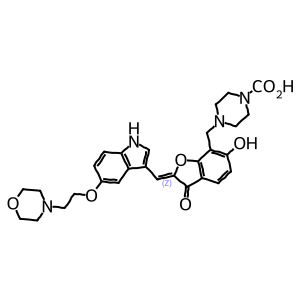 O=C1/C(=C/c2c[nH]c3ccc(OCCN4CCOCC4)cc23)Oc2c1ccc(O)c2CN1CCN(C(=O)O)CC1